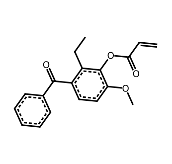 C=CC(=O)Oc1c(OC)ccc(C(=O)c2ccccc2)c1CC